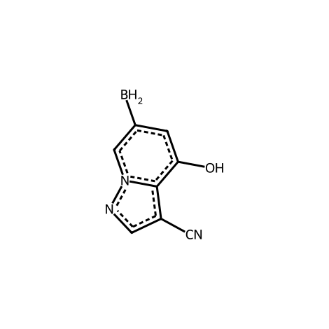 Bc1cc(O)c2c(C#N)cnn2c1